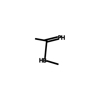 CBC(C)=P